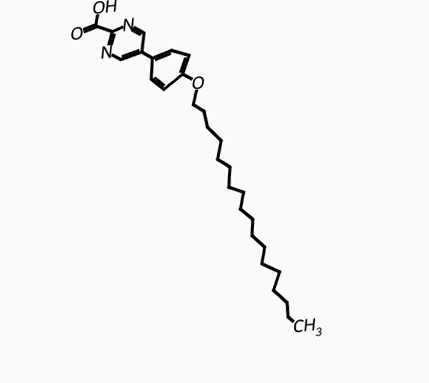 CCCCCCCCCCCCCCCCCCOc1ccc(-c2cnc(C(=O)O)nc2)cc1